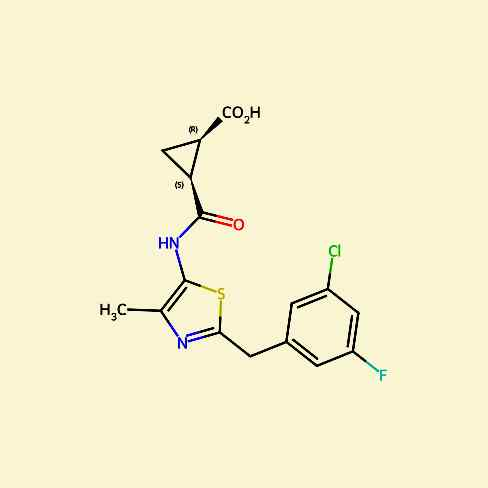 Cc1nc(Cc2cc(F)cc(Cl)c2)sc1NC(=O)[C@H]1C[C@H]1C(=O)O